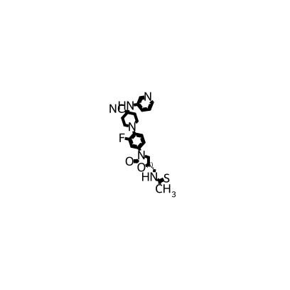 CC(=S)NC[C@H]1CN(c2ccc(N3CCC(C#N)(Nc4cccnc4)CC3)c(F)c2)C(=O)O1